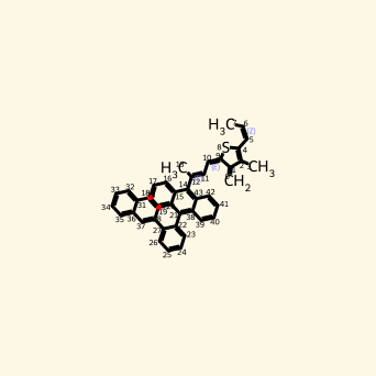 C=c1c(C)c(/C=C\C)s/c1=C/C=C(\C)c1c2ccccc2c(-c2ccccc2-c2ccc3ccccc3c2)c2ccccc12